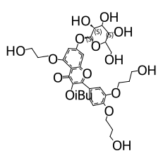 CC(C)COc1c(-c2ccc(OCCCO)c(OCCCO)c2)oc2cc(O[C@@H]3OC(CO)[C@@H](O)C(O)[C@@H]3O)cc(OCCCO)c2c1=O